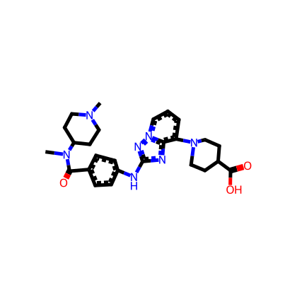 CN1CCC(N(C)C(=O)c2ccc(Nc3nc4c(N5CCC(C(=O)O)CC5)cccn4n3)cc2)CC1